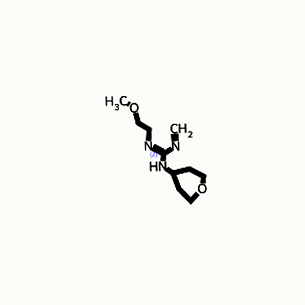 C=N/C(=N\CCOC)NC1CCOCC1